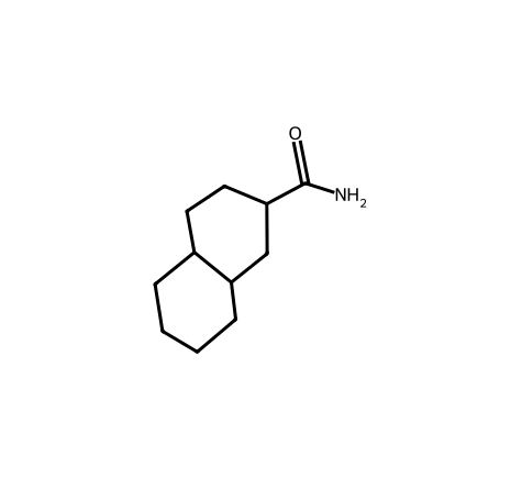 NC(=O)C1CCC2CCCCC2C1